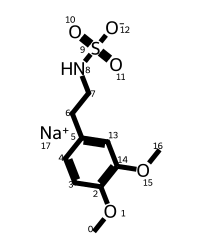 COc1ccc(CCNS(=O)(=O)[O-])cc1OC.[Na+]